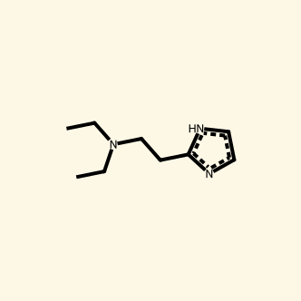 CCN(CC)CCc1ncc[nH]1